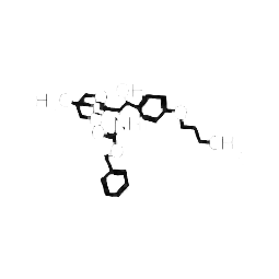 CCCCOc1ccc([C@@H](O)[C@H](NC(=O)OCc2ccccc2)C23OCC(C)(CO2)CO3)cc1